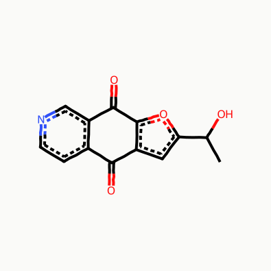 CC(O)c1cc2c(o1)C(=O)c1cnccc1C2=O